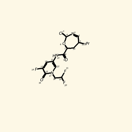 CCCC1C=NC(Cl)OC(C(=O)Nc2cc(F)c(=O)n(CC(F)F)c2)C1